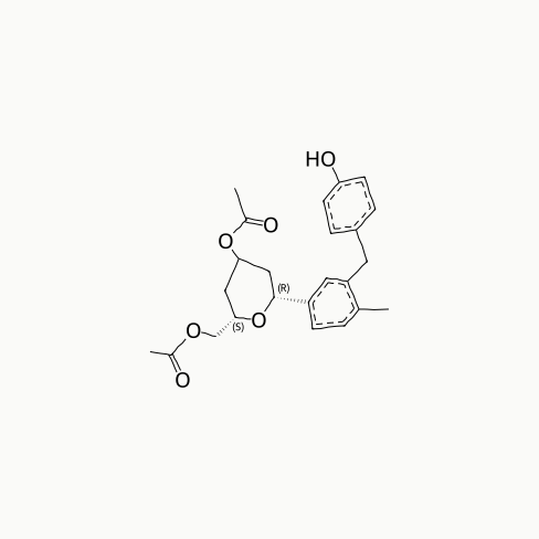 CC(=O)OC[C@@H]1CC(OC(C)=O)C[C@H](c2ccc(C)c(Cc3ccc(O)cc3)c2)O1